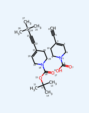 C#CC1=CCN(C(=O)O)CC1.CC(C)(C)OC(=O)N1CC=C(C#C[Si](C)(C)C)CC1